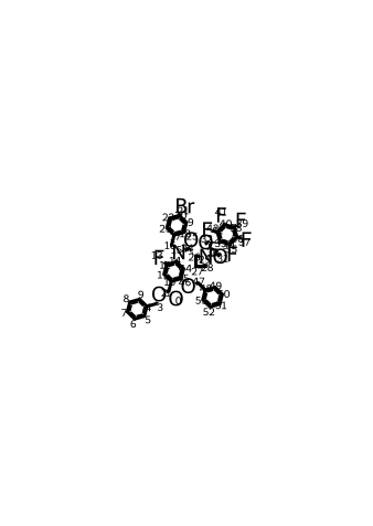 O=C(OCc1ccccc1)c1cc(F)c(N(Cc2ccc(Br)cc2)C(=O)[C@H]2CCN2S(=O)(=O)c2c(F)c(F)c(F)c(F)c2F)cc1OCc1ccccc1